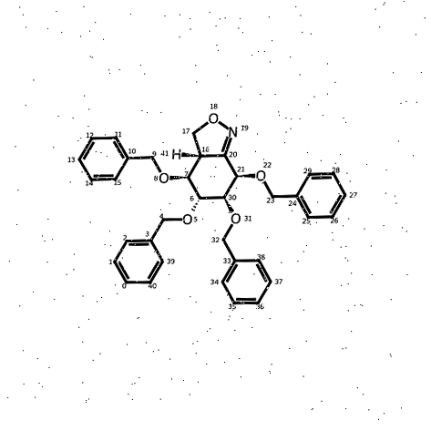 c1ccc(CO[C@@H]2[C@@H](OCc3ccccc3)[C@@H]3CON=C3[C@@H](OCc3ccccc3)[C@H]2OCc2ccccc2)cc1